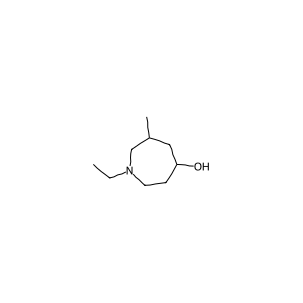 CCN1CCC(O)CC(C)C1